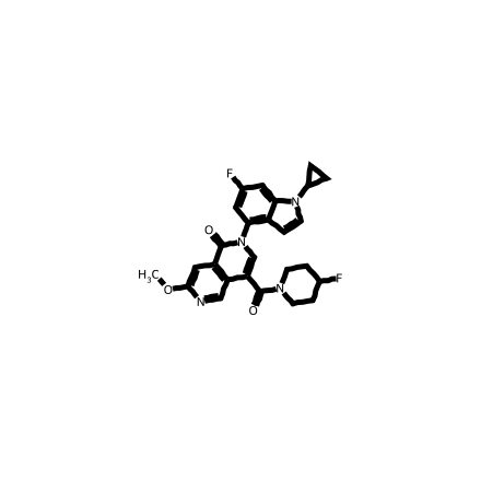 COc1cc2c(=O)n(-c3cc(F)cc4c3ccn4C3CC3)cc(C(=O)N3CCC(F)CC3)c2cn1